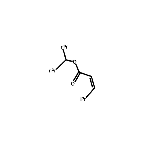 CCCC(CCC)OC(=O)/C=C\C(C)C